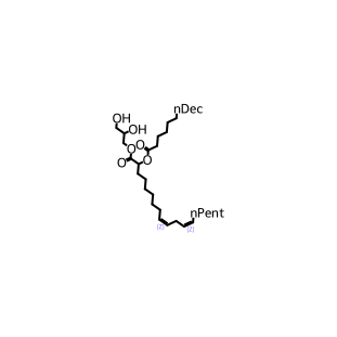 CCCCC/C=C\C/C=C\CCCCCCC(OC(=O)CCCCCCCCCCCCCCC)C(=O)OCC(O)CO